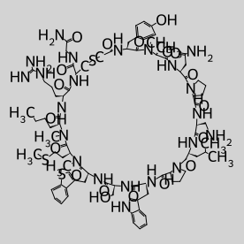 CCCC[C@H]1C(=O)N[C@@H](CCCNC(=N)N)C(=O)NC(C(=O)NCC(N)=O)CSCC(=O)N[C@@H](Cc2ccc(O)cc2)C(=O)N(C)[C@@H](C)C(=O)N[C@@H](CC(N)=O)C(=O)N2CCC[C@H]2C(=O)N[C@@H](CN)C(=O)N[C@@H](CC(C)C)C(=O)N2CCC[C@H]2C(=O)N[C@@H](Cc2c[nH]c3ccccc23)C(=O)N[C@@H](CO)C(=O)N[C@@H](Cc2csc3ccccc23)C(=O)N(C)[C@@H](CCSC)C(=O)N1C